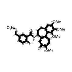 COc1cc2c(c(OC)c1OC)-c1ccc(SC)c(=O)cc1[C@@H](NC(=O)c1cc(CO[N+](=O)[O-])ccc1F)CC2